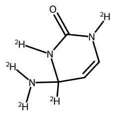 [2H]N1C=CC([2H])(N([2H])[2H])N([2H])C1=O